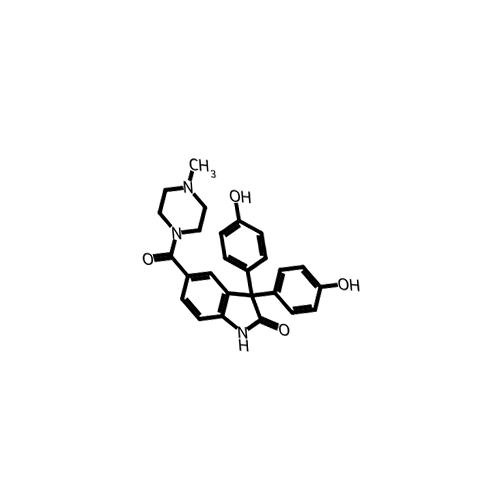 CN1CCN(C(=O)c2ccc3c(c2)C(c2ccc(O)cc2)(c2ccc(O)cc2)C(=O)N3)CC1